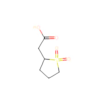 O=C(O)CC1CCCS1(=O)=O